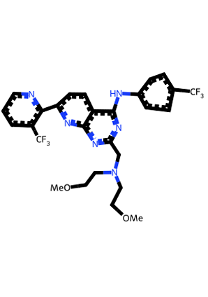 COCCN(CCOC)Cc1nc(Nc2ccc(C(F)(F)F)cc2)c2ccc(-c3ncccc3C(F)(F)F)nc2n1